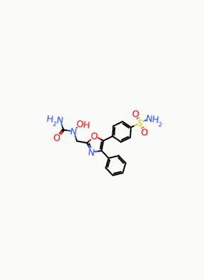 NC(=O)N(O)Cc1nc(-c2ccccc2)c(-c2ccc(S(N)(=O)=O)cc2)o1